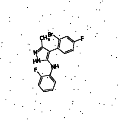 Cc1n[nH]c(Nc2ccccc2F)c1-c1ccc(F)cc1Br